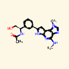 CNc1nc2[nH]c(-c3cccc([C@H](CO)NC(C)=O)c3)cc2c2c1ncn2C